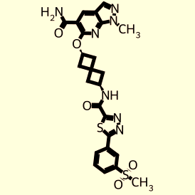 Cn1ncc2cc(C(N)=O)c(O[C@H]3CC4(C[C@H](NC(=O)c5nnc(-c6cccc(S(C)(=O)=O)c6)s5)C4)C3)nc21